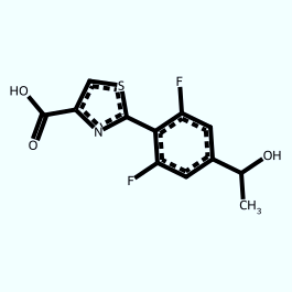 CC(O)c1cc(F)c(-c2nc(C(=O)O)cs2)c(F)c1